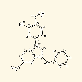 COc1ccc2c(c1)c(Sc1ccccc1)cn2-c1ccc(CO)c(Br)c1